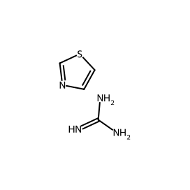 N=C(N)N.c1cscn1